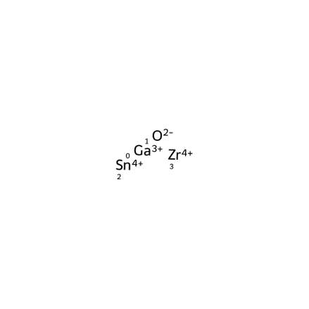 [Ga+3].[O-2].[Sn+4].[Zr+4]